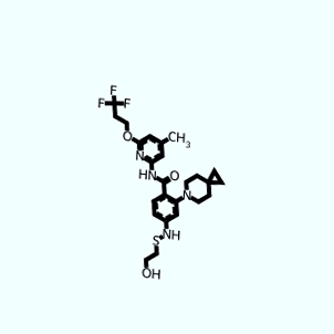 Cc1cc(NC(=O)c2ccc(NSCCO)cc2N2CCC3(CC2)CC3)nc(OCCC(F)(F)F)c1